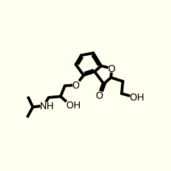 CC(C)NCC(O)COc1cccc2c1C(=O)C(CCO)O2